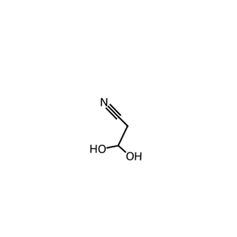 N#CCC(O)O